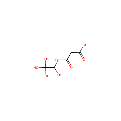 O=C(O)CC(=O)NC(O)C(O)(O)O